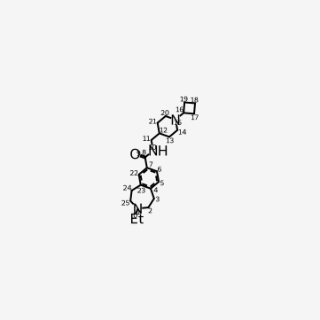 CCN1CCc2ccc(C(=O)NCC3CCN(C4CCC4)CC3)cc2CC1